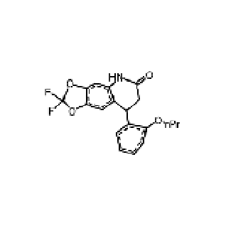 CCCOc1ccccc1C1CC(=O)Nc2cc3c(cc21)OC(F)(F)O3